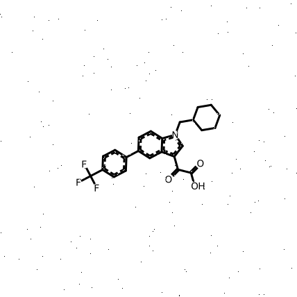 O=C(O)C(=O)c1cn(CC2CCCCC2)c2ccc(-c3ccc(C(F)(F)F)cc3)cc12